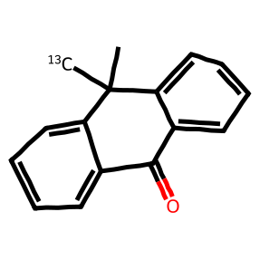 CC1([13CH3])c2ccccc2C(=O)c2ccccc21